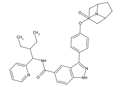 CCC(CC)C(NC(=O)c1ccc2[nH]nc(-c3ccc(OC4CC5CCC(C4)N5C=O)cc3)c2c1)c1ccccn1